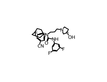 N#Cc1cccc([C@]23CC[C@@H](N(CCCN4CC[C@@H](O)C4)C(=O)Nc4cc(F)cc(F)c4)CC2C3)c1